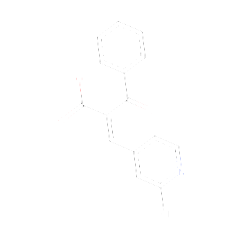 Cc1cc(/C=C(/C(=O)O)C(=O)c2ccccc2)ccn1